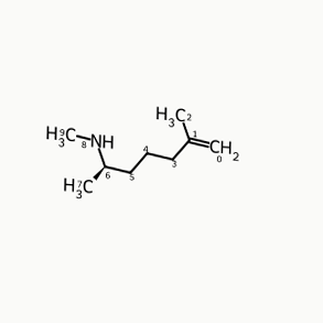 C=C(C)CCC[C@@H](C)NC